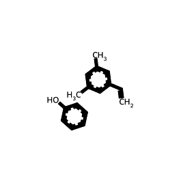 C=Cc1cc(C)cc(C)c1.Oc1ccccc1